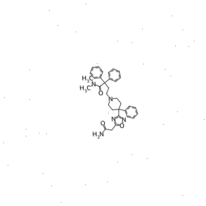 CN(C)C(=O)C(CCN1CCC(c2ccccc2)(c2noc(CC(N)=O)n2)CC1)(c1ccccc1)c1ccccc1